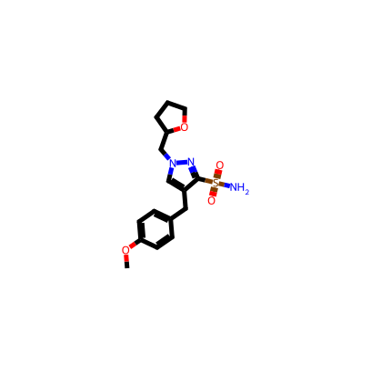 COc1ccc(Cc2cn(CC3CCCO3)nc2S(N)(=O)=O)cc1